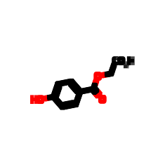 O=C(O)COC(=O)c1ccc(O)cc1